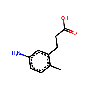 Cc1ccc(N)cc1CCC(=O)O